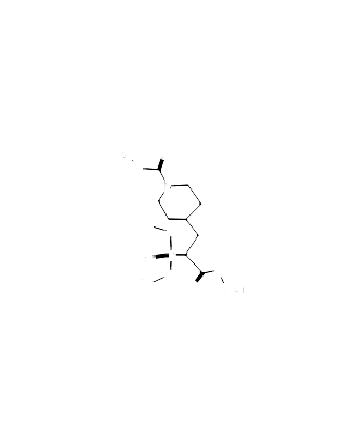 CCOP(=O)(OCC)C(CC1CCN(C(=O)OC(C)(C)C)CC1)C(=O)OC(C)(C)C